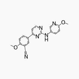 COc1ccc(Nc2nccc(-c3ccc(OC)c(C#N)c3)n2)cn1